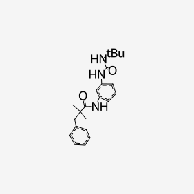 CC(C)(C)NC(=O)Nc1cccc(NC(=O)C(C)(C)Cc2ccccc2)c1